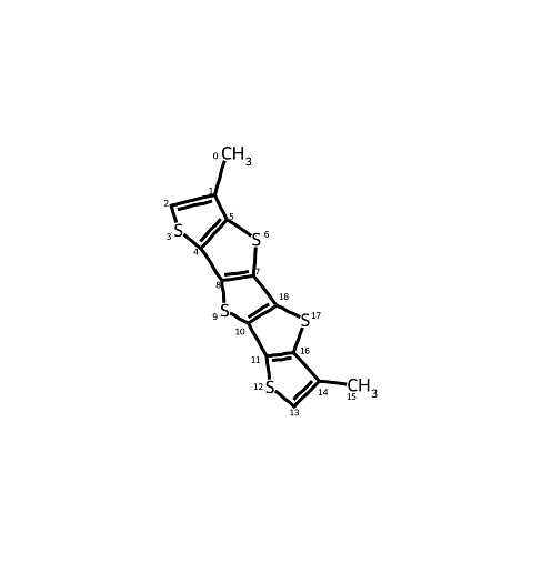 Cc1csc2c1sc1c2sc2c3scc(C)c3sc21